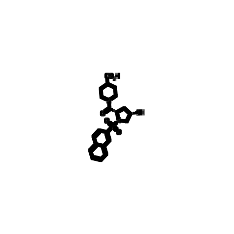 O=C(O)C1CCN(C(=O)[C@@H]2C[C@H](S)CN2S(=O)(=O)c2ccc3ccccc3c2)CC1